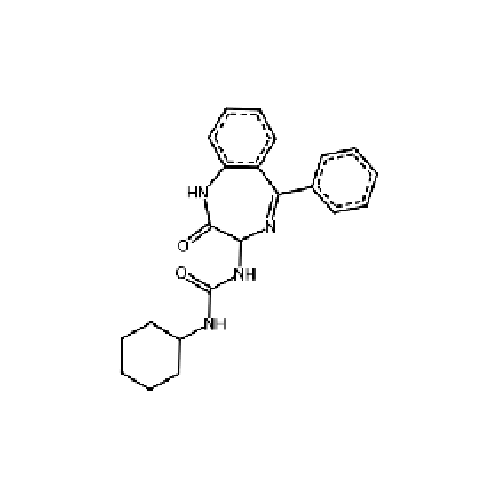 O=C(NC1CCCCC1)NC1N=C(c2ccccc2)c2ccccc2NC1=O